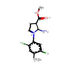 CCOC(=O)c1cc(F)c(N2CCC(C(=O)OC(C)(C)C)C2N)cc1F